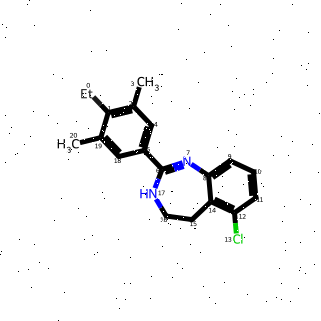 CCc1c(C)cc(C2=Nc3cccc(Cl)c3CCN2)cc1C